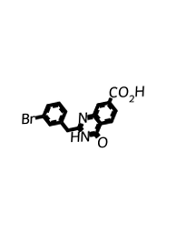 O=C(O)c1ccc2c(=O)[nH]c(Cc3cccc(Br)c3)nc2c1